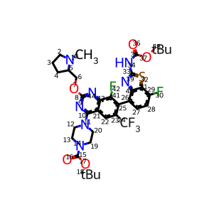 CN1CCCC1COc1nc(N2CCN(C(=O)OC(C)(C)C)CC2)c2cc(C(F)(F)F)c(-c3ccc(F)c4sc(NC(=O)OC(C)(C)C)nc34)c(F)c2n1